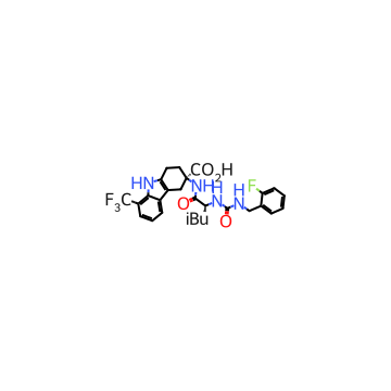 CCC(C)[C@H](NC(=O)NCc1ccccc1F)C(=O)N[C@]1(C(=O)O)CCc2[nH]c3c(C(F)(F)F)cccc3c2C1